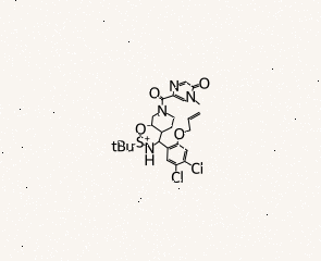 C=CCOc1cc(Cl)c(Cl)cc1C(N[S@@+]([O-])C(C)(C)C)C1CCN(C(=O)c2cn(C)c(=O)cn2)CC1